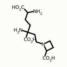 NC(CCC(N)(CCN1CCC1C(=O)O)C(=O)O)C(=O)O